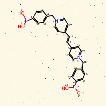 OP(O)c1ccc(C[n+]2ccc(C=Cc3cc[n+](Cc4ccc(P(O)O)cc4)cc3)cc2)cc1